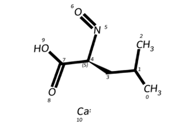 CC(C)C[C@H](N=O)C(=O)O.[Ca]